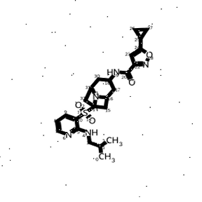 CC(C)CNc1ncccc1S(=O)(=O)C12CC3CC(NC(=O)c4cc(C5CC5)on4)CC(C1)N32